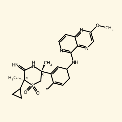 COc1cnc2c(NC3C=C([C@]4(C)CS(=O)(=O)[C@@](C)(C5CC5)C(=N)N4)C(F)=CC3)nccc2n1